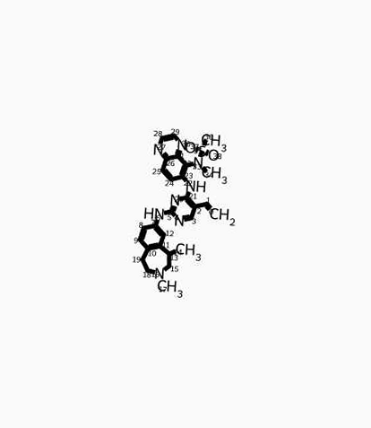 C=Cc1cnc(Nc2ccc3c(c2)C(C)CN(C)CC3)nc1Nc1ccc2nccnc2c1N(C)S(C)(=O)=O